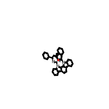 C1=C(c2ccccc2)NC(n2c3ccccc3c3ccc4c5ccccc5n(-c5ccccc5)c4c32)N=C1c1ccccc1